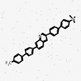 C[Si](C)(C)c1ccc(-c2ccc(-c3cnc4cc(-c5ccc(-c6ccc(C(F)(F)F)cc6)cc5)ccc4c3)cc2)cc1